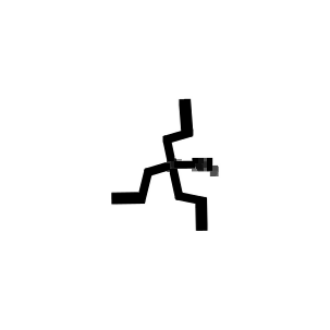 C=CC[B-](N)(CC=C)CC=C